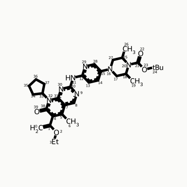 C=C(OCC)c1c(C)c2cnc(Nc3ccc(N4CC(C)N(C(=O)OC(C)(C)C)C(C)C4)cn3)nc2n(C2CCCC2)c1=O